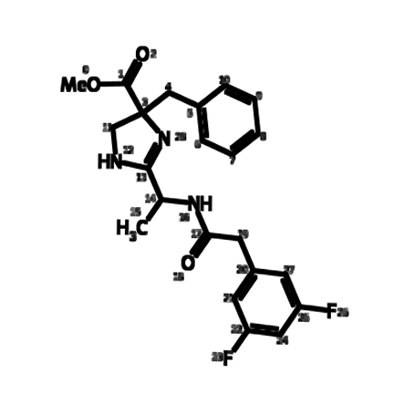 COC(=O)C1(Cc2ccccc2)CNC(C(C)NC(=O)Cc2cc(F)cc(F)c2)=N1